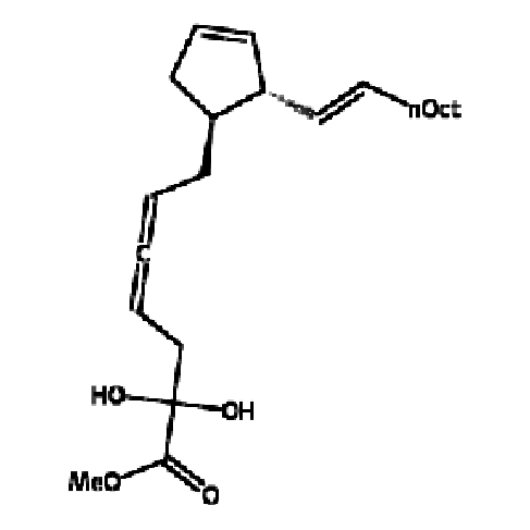 CCCCCCCCC=C[C@H]1C=CC[C@@H]1CC=C=CCC(O)(O)C(=O)OC